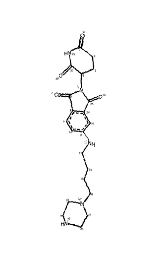 O=C1CCC(N2C(=O)c3ccc(NCCCCN4CCNCC4)cc3C2=O)C(=O)N1